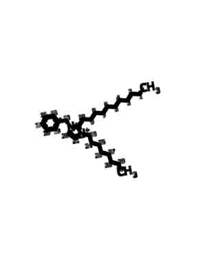 CCCCCCCCCCCc1n(Cc2ccccc2)cc[n+]1CCCCCCCC